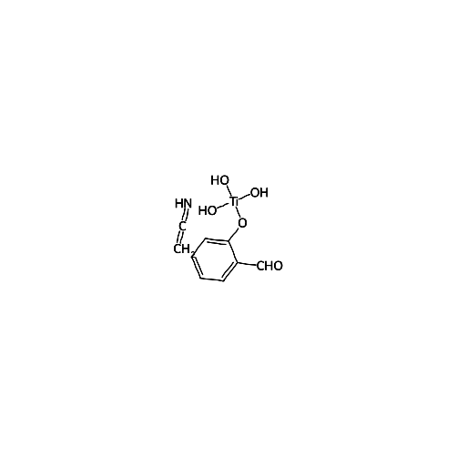 C=C=N.O=Cc1ccccc1[O][Ti]([OH])([OH])[OH]